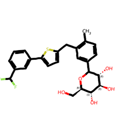 Cc1ccc(C2O[C@H](CO)[C@@H](O)[C@H](O)[C@H]2O)cc1Cc1ccc(-c2cccc(C(F)F)c2)s1